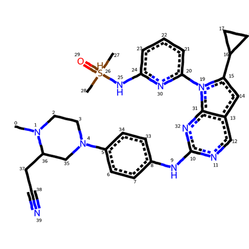 CN1CCN(c2ccc(Nc3ncc4cc(C5CC5)n(-c5cccc(N[SH](C)(C)=O)n5)c4n3)cc2)CC1CC#N